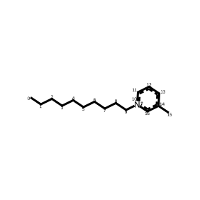 CCCCCCCCCC[n+]1cccc(C)c1